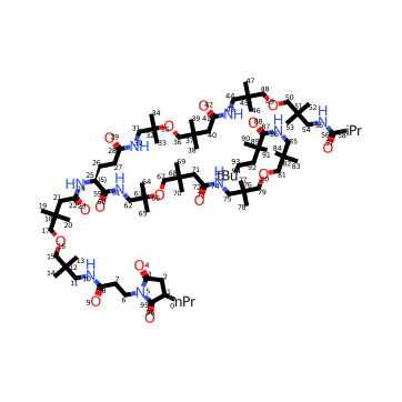 CCCC1CC(=O)N(CCC(=O)NCC(C)(C)COCC(C)(C)CC(=O)N[C@@H](CCC(=O)NCC(C)(C)OCC(C)(C)CC(=O)NCC(C)(C)COCC(C)(C)CNC(=O)C(C)C)C(=O)NCC(C)(C)OCC(C)(C)CC(=O)NCC(C)(C)COCC(C)(C)CNC(=O)C(C)(C)CCC(C)(C)C)C1=O